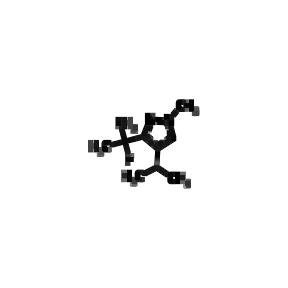 CC(C)c1cn(C)nc1C(C)(F)P